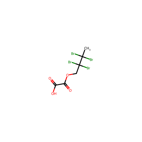 CC(Br)(Br)C(Br)(Br)COC(=O)C(=O)O